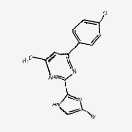 Cc1cc(-c2ccc(Cl)cc2)nc(-c2nc(Br)c[nH]2)n1